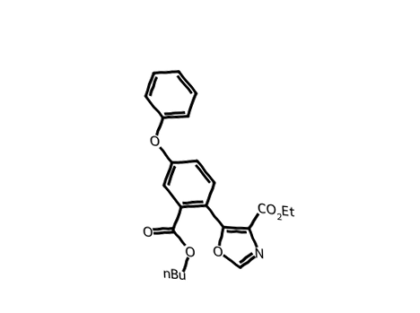 CCCCOC(=O)c1cc(Oc2ccccc2)ccc1-c1ocnc1C(=O)OCC